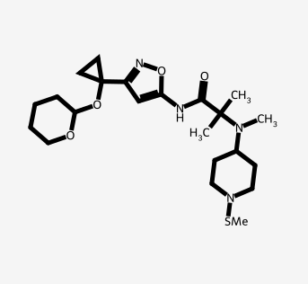 CSN1CCC(N(C)C(C)(C)C(=O)Nc2cc(C3(OC4CCCCO4)CC3)no2)CC1